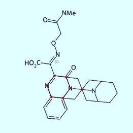 CNC(=O)CO/N=C(\C(=O)O)c1nc2ccccc2n(C2CC3CCCC(C2)N3C2CC3CCCC(C3)C2)c1=O